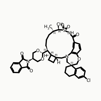 C[C@@H]1[C@@H](C)CCC[C@H]([C@H]2OC[C@H](N3C(=O)c4ccccc4C3=O)CO2)[C@@H]2CC[C@H]2CN2C[C@@]3(CCCc4cc(Cl)ccc43)COc3ccc(cc32)C(=O)NS1(=O)=O